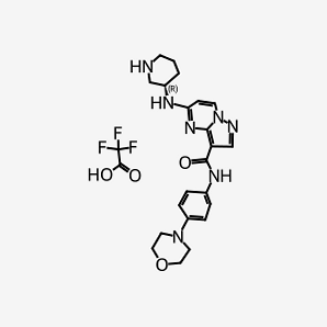 O=C(Nc1ccc(N2CCOCC2)cc1)c1cnn2ccc(N[C@@H]3CCCNC3)nc12.O=C(O)C(F)(F)F